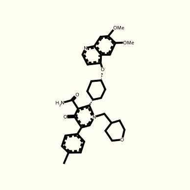 COc1cc2nccc(O[C@H]3CC[C@@H](c4c(C(N)=O)c(=O)c(-c5ccc(C)cc5)cn4CC4CCOCC4)CC3)c2cc1OC